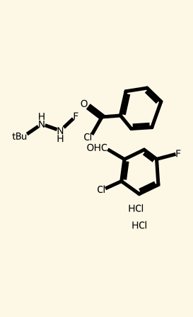 CC(C)(C)NNF.Cl.Cl.O=C(Cl)c1ccccc1.O=Cc1cc(F)ccc1Cl